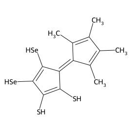 CC1=C(C)C(=C2C(S)=C(S)C([SeH])=C2[SeH])C(C)=C1C